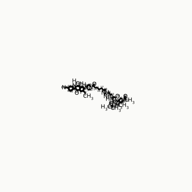 CCc1cc2c(cc1N1CCN(C(=O)CCCCc3cn(CCC[C@H](NC(=O)OC(C)(C)C)C(=O)N[C@H]4CN(C(C)=O)CC4(C)C)c(N)n3)CC1)C(C)(C)c1[nH]c3cc(C#N)ccc3c1C2=O